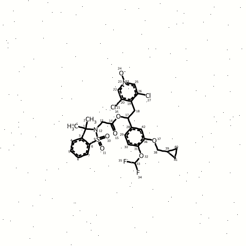 CC1(C)c2ccccc2S(=O)(=O)N1CC(=O)OC(Cc1c(Cl)c[n+]([O-])cc1Cl)c1ccc(OC(F)F)c(OCC2CC2)c1